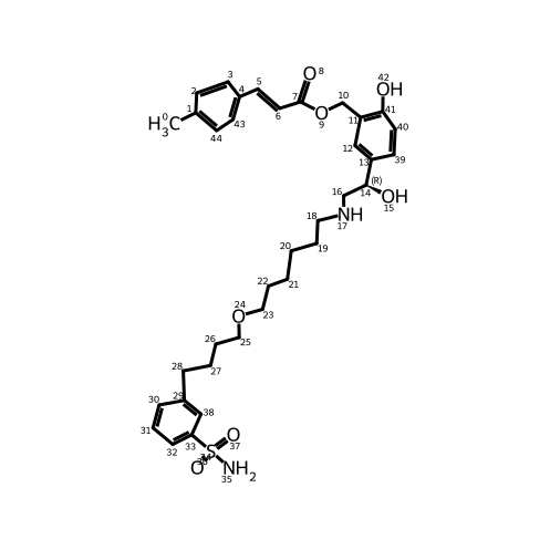 Cc1ccc(C=CC(=O)OCc2cc([C@@H](O)CNCCCCCCOCCCCc3cccc(S(N)(=O)=O)c3)ccc2O)cc1